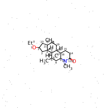 CCOC1C[C@H]2[C@@H]3C(C)CC4N(C)C(=O)CC[C@]4(C)[C@@H]3CC[C@]2(C)C1